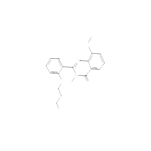 COc1cccc2c(=O)n(C)c(-c3ccccc3OCCCCl)nc12